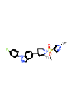 CCCn1cc(S(=O)(=O)N2CC[C@H](c3ccc4c(cnn4-c4ccc(F)cc4)c3)C[C@H]2C)cn1